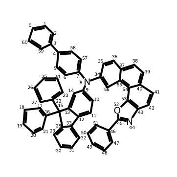 c1ccc(-c2ccc(N(c3ccc4c(c3)C(c3ccccc3)(c3ccccc3)c3ccccc3-4)c3ccc4ccc5ccc6nc(-c7ccccc7)oc6c5c4c3)cc2)cc1